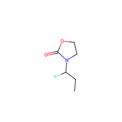 CCC(F)N1CCOC1=O